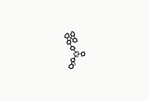 c1ccc(-c2nc(-c3ccc(-c4ccc5c(c4)C4(c6ccccc6-c6ccccc64)c4ccccc4-5)cc3)nc(-c3ccc4c(c3)sc3ccccc34)n2)cc1